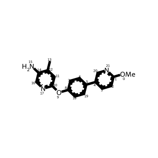 COc1ccc(-c2ccc(Oc3cc(C)c(N)cn3)cc2)cn1